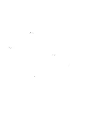 COc1cc2nc(Cl)cc(NC(C)c3ccc(F)cc3)c2cc1OC